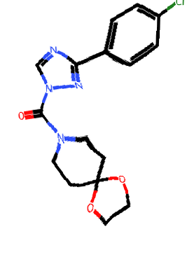 O=C(N1CCC2(CC1)OCCO2)n1cnc(-c2ccc(Cl)cc2)n1